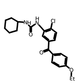 CCOc1ccc(C(=O)c2ccc(Cl)c(NC(=O)NC3CCCCC3)c2)cc1